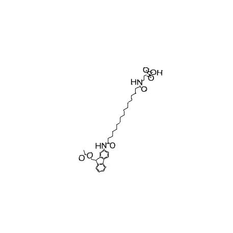 CC(=O)OCC1c2ccccc2-c2ccc(NC(=O)CCCCCCCCCCCCCCCC(=O)NCCS(=O)(=O)O)cc21